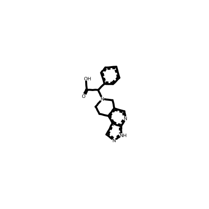 O=C(O)C(c1ccccc1)N1CCc2c(cnc3[nH]ncc23)C1